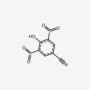 N#Cc1cc(I(=O)=O)c(O)c(I(=O)=O)c1